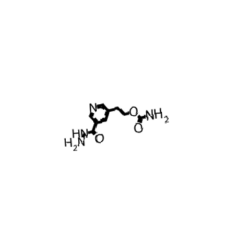 NNC(=O)c1cncc(CCOC(N)=O)c1